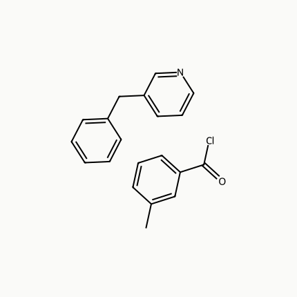 Cc1cccc(C(=O)Cl)c1.c1ccc(Cc2cccnc2)cc1